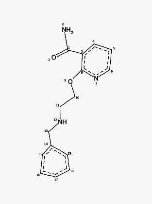 NC(=O)c1cccnc1OCCNCc1ccccc1